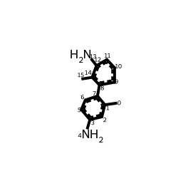 Cc1cc(N)ccc1-c1cccc(N)c1C